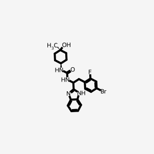 C[C@]1(O)CC[C@@H](NC(=O)NC(Cc2ccc(Br)cc2F)c2nc3ccccc3[nH]2)CC1